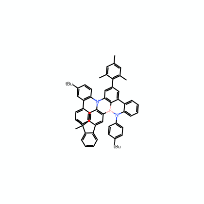 Cc1cc(C)c(-c2cc3c4c(c2)N(c2ccc(C(C)(C)C)cc2-c2ccccc2)c2cc5c(cc2B4N(c2ccc(C(C)(C)C)cc2)c2ccccc2-3)-c2ccccc2C5(C)C)c(C)c1